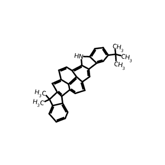 CC(C)(C)c1ccc2[nH]c3c(cc4ccc5c6c(cc7ccc3c4c75)C(C)(C)c3ccccc3-6)c2c1